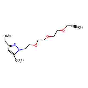 C#CCOCCOCCOCCn1nc(COC)cc1C(=O)O